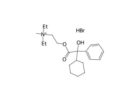 Br.CC[N+](C)(CC)CCOC(=O)C(O)(c1ccccc1)C1CCCCC1